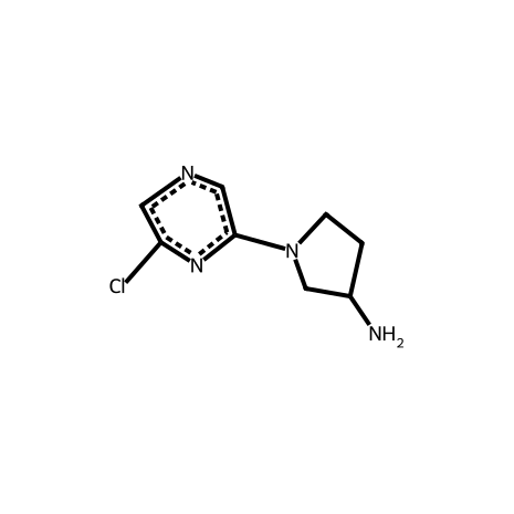 NC1CCN(c2cncc(Cl)n2)C1